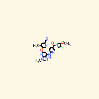 CO[C@@H]1CN(C(=O)c2ccc(Nc3cc(Oc4cnc(C#N)cc4C)nc4c3ncn4C)nc2)C[C@H]1F